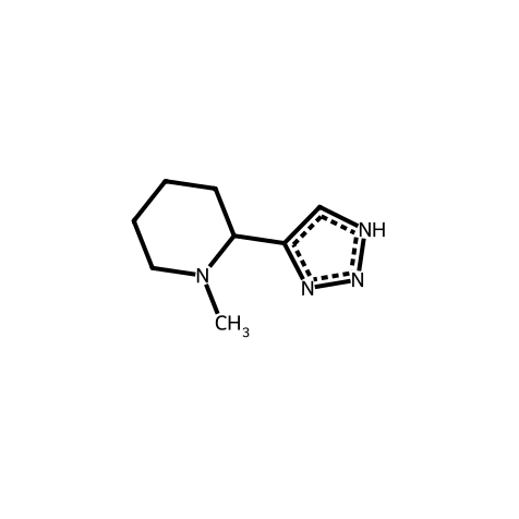 CN1CCCCC1c1c[nH]nn1